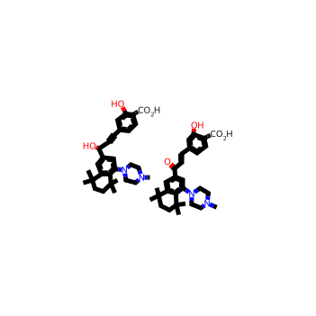 CN1CCN(c2cc(C(=O)/C=C/c3ccc(C(=O)O)c(O)c3)cc3c2C(C)(C)CCC3(C)C)CC1.CN1CCN(c2cc(C(O)C#Cc3ccc(C(=O)O)c(O)c3)cc3c2C(C)(C)CCC3(C)C)CC1